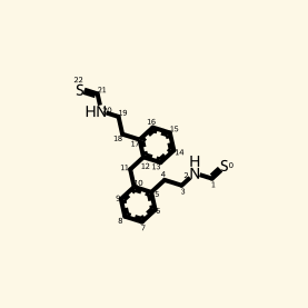 S=CNCCc1ccccc1Cc1ccccc1CCNC=S